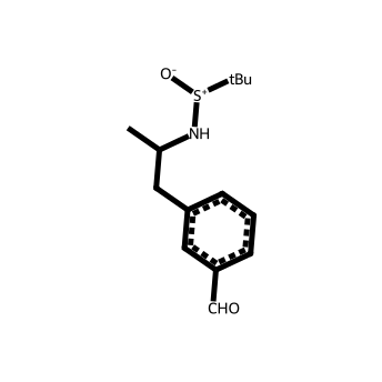 CC(Cc1cccc(C=O)c1)N[S+]([O-])C(C)(C)C